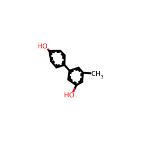 Cc1cc(O)cc(-c2ccc(O)cc2)c1